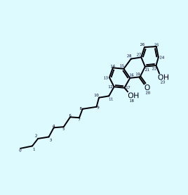 CCCCCCCCCCCCc1ccc2c(c1O)C(=O)c1c(O)cccc1C2